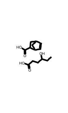 CCC(O)CCC(=O)O.O=C(O)C1CC2C=CC1C2